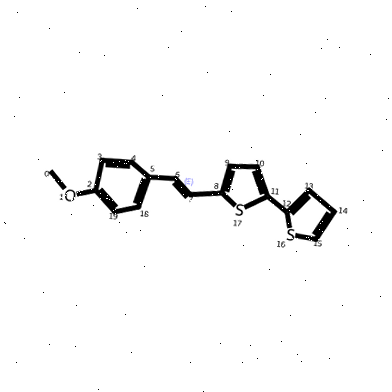 COc1ccc(/C=C/c2ccc(-c3cccs3)s2)cc1